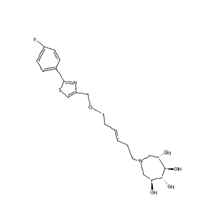 O[C@H]1[C@H](O)[C@@H](O)CN(CC/C=C/CCOCc2csc(-c3ccc(F)cc3)n2)C[C@@H]1O